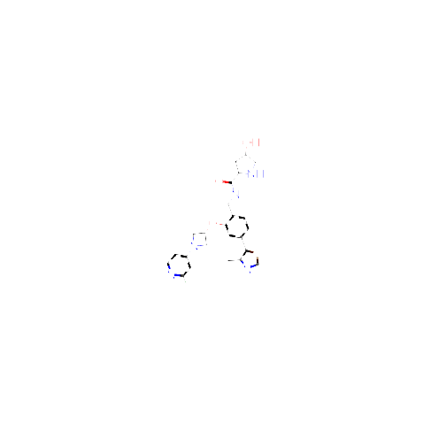 Cc1ncsc1-c1ccc(CNC(=O)C2CC(O)CN2)c(OC2CN(c3ccnc(F)c3)C2)c1